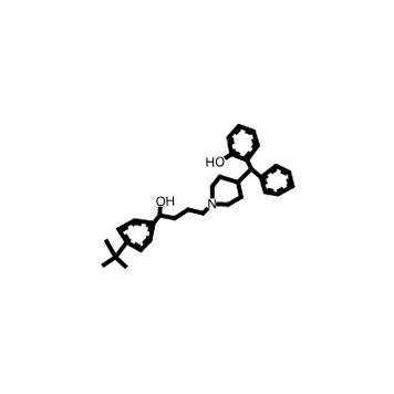 CC(C)(C)c1ccc(C(O)CCCN2CCC(C(c3ccccc3)c3ccccc3O)CC2)cc1